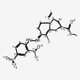 C=C[C@@]12CC/C(=N\Nc3ccc([N+](=O)[O-])cc3[N+](=O)[O-])C(C)=C1C[C@H](C(=O)OC)CC2